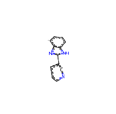 [c]1cccc2[nH]c(-c3cccnc3)nc12